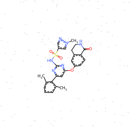 Cc1cccc(C)c1-c1cc(Oc2ccc3c(c2)CCNC3=O)nc(NS(=O)(=O)c2cnn(C)c2)n1